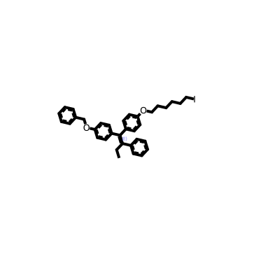 CC/C(=C(/c1ccc(OCCCCCCI)cc1)c1ccc(OCc2ccccc2)cc1)c1ccccc1